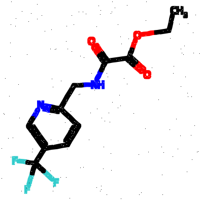 CCOC(=O)C(=O)NCc1ccc(C(F)(F)F)cn1